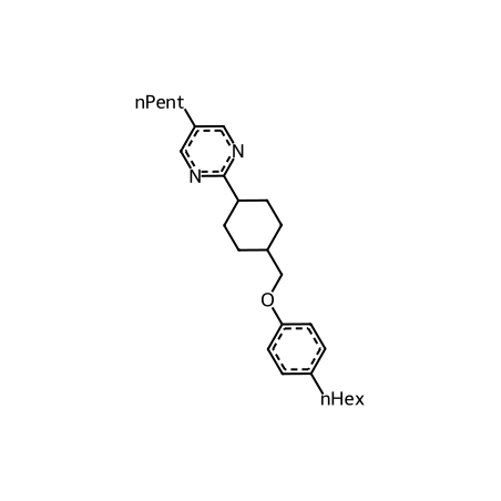 CCCCCCc1ccc(OCC2CCC(c3ncc(CCCCC)cn3)CC2)cc1